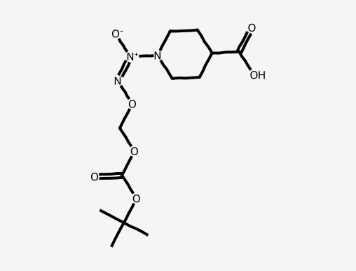 CC(C)(C)OC(=O)OCO/N=[N+](/[O-])N1CCC(C(=O)O)CC1